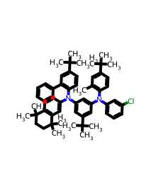 Cc1cc(C(C)(C)C)ccc1N(c1cccc(Cl)c1)c1cc(N(c2ccc3c(c2)C(C)(C)CCC3(C)C)c2ccc(C(C)(C)C)cc2-c2ccccc2)cc(C(C)(C)C)c1